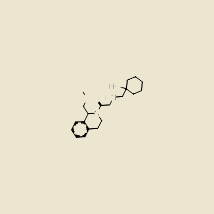 COCC1c2ccccc2CCN1C(=O)CNCC1(O)CCCCC1